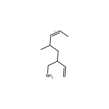 C=CC(CN)CC(C)/C=C\C